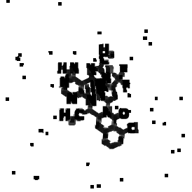 Cc1noc(-c2c(N)ncnc2NC(C)c2cc3cccc(Cl)c3c(=O)n2-c2cc(C(F)(F)F)[nH]n2)n1